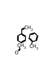 C=Cc1ccccc1.CC=O.Cc1ccccc1